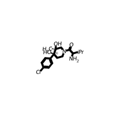 CC(C)C(N)C(=O)N1CC[C@](O)(c2ccc(Cl)cc2)[C@@](C)(O)C1